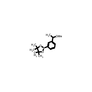 COC(C)c1cccc(B2OC(C)(C)C(C)(C)O2)c1